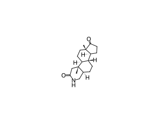 C[C@]12CC(=O)NC[C@@H]1CC[C@@H]1[C@@H]2CC[C@]2(C)C(=O)CC[C@@H]12